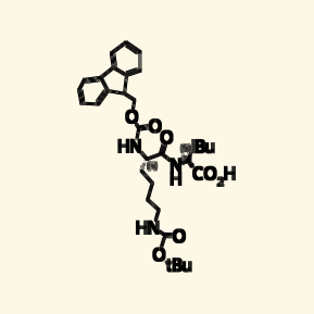 CC[C@H](C)[C@H](NC(=O)[C@H](CCCCNC(=O)OC(C)(C)C)NC(=O)OCC1c2ccccc2-c2ccccc21)C(=O)O